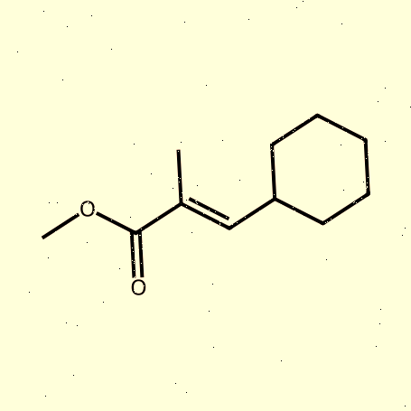 COC(=O)/C(C)=C/C1CCCCC1